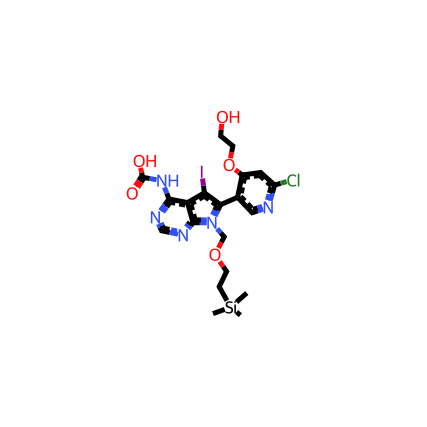 C[Si](C)(C)CCOCn1c(-c2cnc(Cl)cc2OCCO)c(I)c2c(NC(=O)O)ncnc21